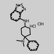 CN(C)C1(c2ccccc2)CCC(Nc2cccc3nsnc23)CC1.Cl.Cl